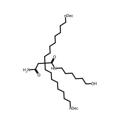 CCCCCCCCCCCCCCCCCCC(CCCCCCCCCCCCCCCCCC)(CC(N)=O)C(=O)NCCCCCCO